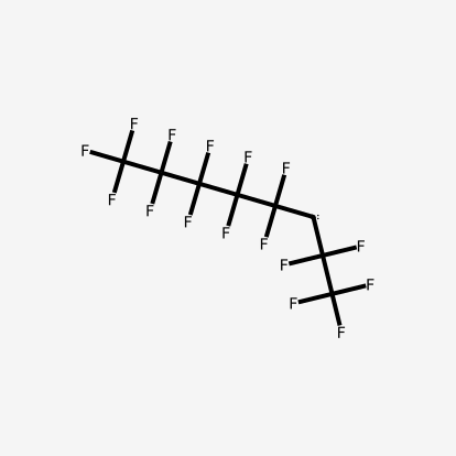 FC(F)(F)C(F)(F)[C]C(F)(F)C(F)(F)C(F)(F)C(F)(F)C(F)(F)F